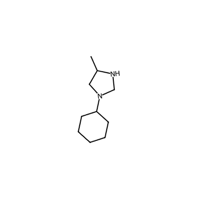 CC1CN(C2CCCCC2)CN1